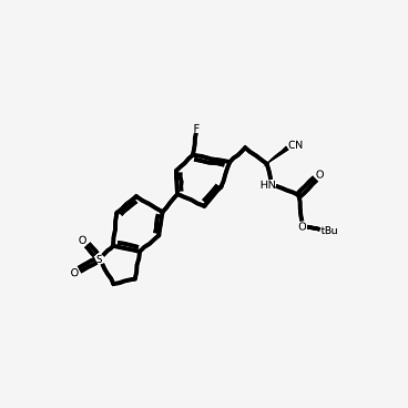 CC(C)(C)OC(=O)N[C@H](C#N)Cc1ccc(-c2ccc3c(c2)CCS3(=O)=O)cc1F